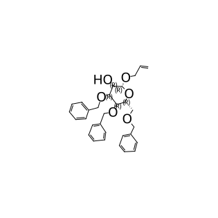 C=CCO[C@@H]1O[C@H](COCc2ccccc2)[C@@H](OCc2ccccc2)[C@H](OCc2ccccc2)[C@H]1O